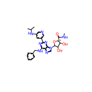 CNC(=O)[C@@H]1OC(n2cnc3c(NCc4ccccc4)nc(-c4cncc(NC(C)C)c4)nc32)C(O)C1O